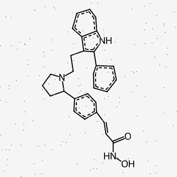 O=C(/C=C/c1ccc(C2CCCN2CCc2c(-c3ccccc3)[nH]c3ccccc23)cc1)NO